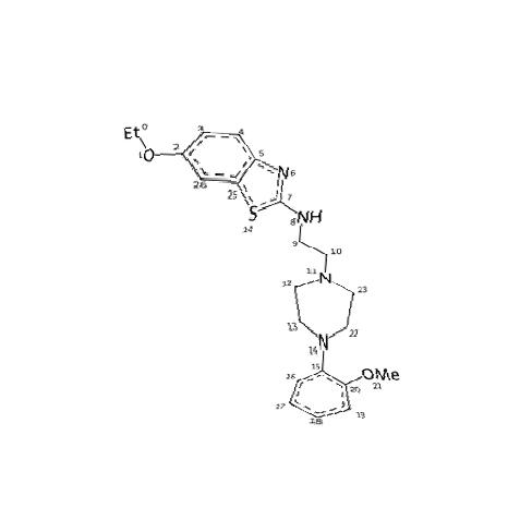 CCOc1ccc2nc(NCCN3CCN(c4ccccc4OC)CC3)sc2c1